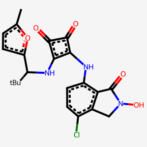 Cc1ccc(C(Nc2c(Nc3ccc(Cl)c4c3C(=O)N(O)C4)c(=O)c2=O)C(C)(C)C)o1